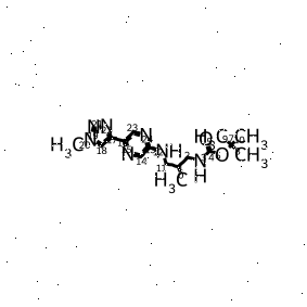 CC(CNC(=O)OC(C)(C)C)CNc1cnc(-c2cn(C)nn2)cn1